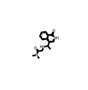 CC(NCC(=O)N(C)C)c1c[nH]c(=O)c2ccccc12